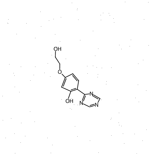 OCCOc1ccc(-c2ncncn2)c(O)c1